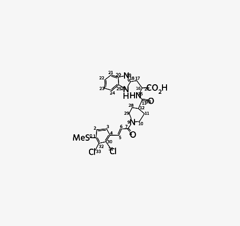 CSc1ccc(/C=C/C(=O)N2CCC(C(=O)NC(Cc3nc4ccccc4[nH]3)C(=O)O)CC2)c(Cl)c1Cl